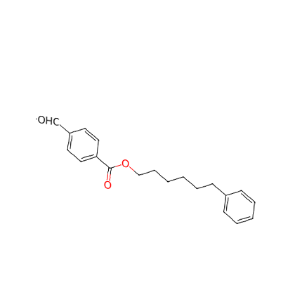 O=[C]c1ccc(C(=O)OCCCCCCc2ccccc2)cc1